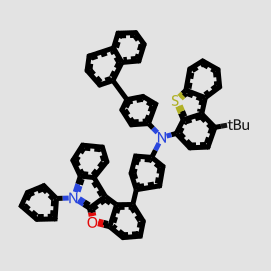 CC(C)(C)c1ccc(N(c2ccc(-c3cccc4ccccc34)cc2)c2ccc(-c3cccc4oc5c(c6ccccc6n5-c5ccccc5)c34)cc2)c2sc3ccccc3c12